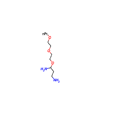 CCCOCCOCCOC(N)CCN